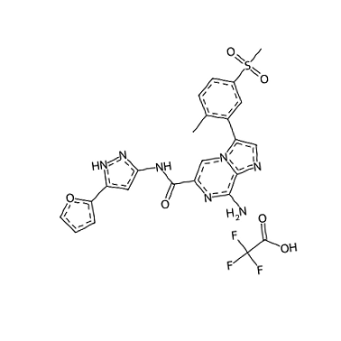 Cc1ccc(S(C)(=O)=O)cc1-c1cnc2c(N)nc(C(=O)Nc3cc(-c4ccco4)[nH]n3)cn12.O=C(O)C(F)(F)F